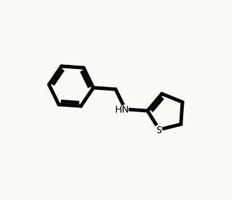 C1=C(NCc2ccccc2)SCC1